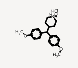 COc1ccc(C(c2ccc(OC)cc2)C2CCNCC2)cc1.Cl.O